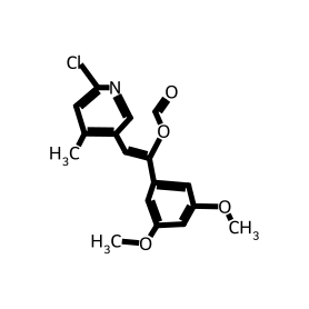 COc1cc(OC)cc(/C(=C/c2cnc(Cl)cc2C)OC=O)c1